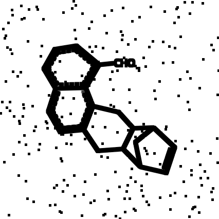 O=Cc1cccc2ccc3c(c12)CC1C2C=CC(C2)C1C3